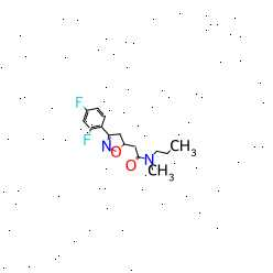 CCCN(C)C(=O)CC1CC(c2ccc(F)cc2F)=NO1